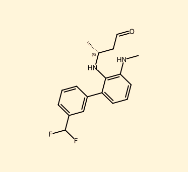 CNc1cccc(-c2cccc(C(F)F)c2)c1N[C@H](C)CC=O